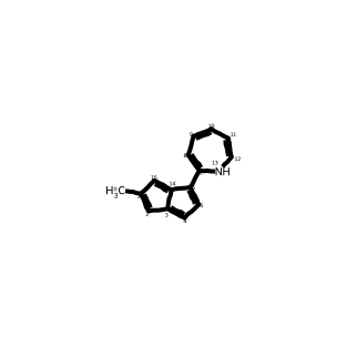 CC1=CC2=CC=C(C3=CC=CC=CN3)C2=C1